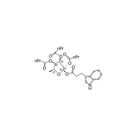 CCCC(=O)O[C@H]1[C@H](OC(=O)CCC)[C@@H](OC(=O)CCc2c[nH]c3ccccc23)O[C@@H](C)[C@H]1OC(=O)CCC